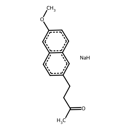 COc1ccc2cc(CCC(C)=O)ccc2c1.[NaH]